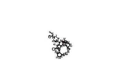 C=CC(=O)N1CCN(c2nc(=O)n3c4nc(c(Cl)cc24)-c2c(F)cccc2SCCOc2ccnc(C(C)C)c2-3)[C@H](C)C1